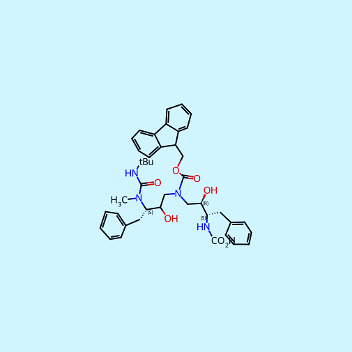 CN(C(=O)NC(C)(C)C)[C@@H](Cc1ccccc1)C(O)CN(C[C@@H](O)[C@H](Cc1ccccc1)NC(=O)O)C(=O)OCC1c2ccccc2-c2ccccc21